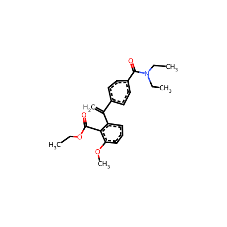 C=C(c1ccc(C(=O)N(CC)CC)cc1)c1cccc(OC)c1C(=O)OCC